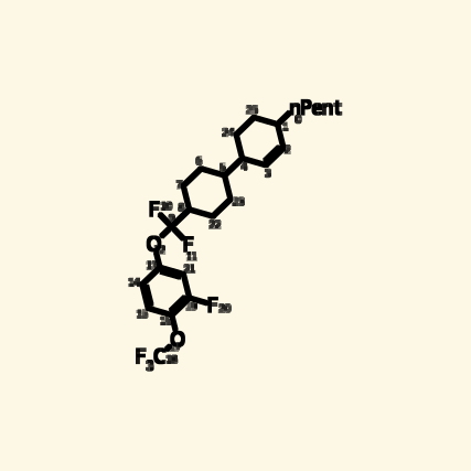 CCCCCC1C=CC(C2CCC(C(F)(F)Oc3ccc(OC(F)(F)F)c(F)c3)CC2)CC1